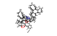 C=C1C(c2cc3ccccc3c3oc4cccc(-c5cccc6c5oc5ccccc56)c4c23)=C(C)C(c2ccccc2)=NC1c1ccc2c3ccccc3c3ccccc3c2c1